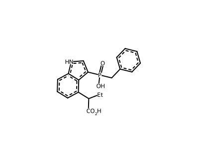 CCC(C(=O)O)c1cccc2[nH]cc(P(=O)(O)Cc3ccccc3)c12